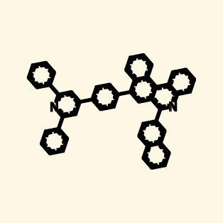 c1ccc(-c2cc(-c3ccc(-c4cc5c(-c6ccc7ccccc7c6)nc6ccccc6c5c5ccccc45)cc3)cc(-c3ccccc3)n2)cc1